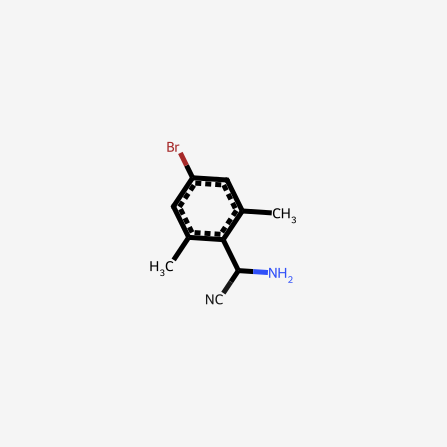 Cc1cc(Br)cc(C)c1C(N)C#N